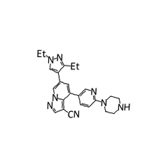 CCc1nn(CC)cc1-c1cc(-c2ccc(N3CCNCC3)nc2)c2c(C#N)cnn2c1